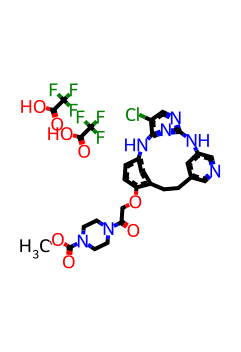 COC(=O)N1CCN(C(=O)COc2ccc3cc2CCc2cncc(c2)Nc2ncc(Cl)c(n2)N3)CC1.O=C(O)C(F)(F)F.O=C(O)C(F)(F)F